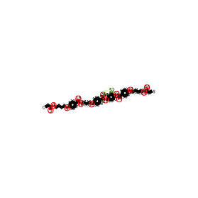 C=CC(=O)OCCCCOc1ccc(C(=O)OCCCOc2ccc(C(=O)Oc3ccc(OC(=O)c4ccc(OCCCCOC(=O)C=C)cc4)c(F)c3F)cc2)cc1